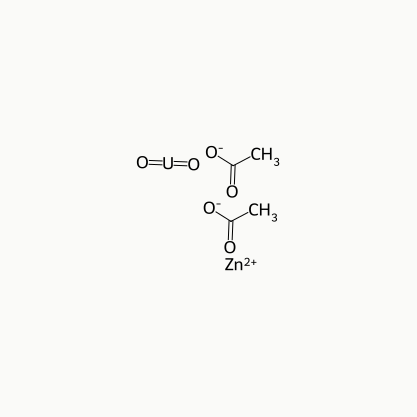 CC(=O)[O-].CC(=O)[O-].[O]=[U]=[O].[Zn+2]